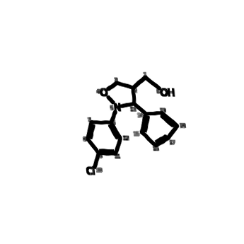 OCC1CON(c2ccc(Cl)cc2)C1c1ccccc1